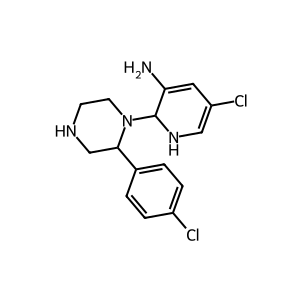 NC1=CC(Cl)=CNC1N1CCNCC1c1ccc(Cl)cc1